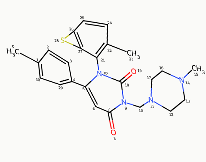 Cc1ccc(-c2cc(=O)n(CN3CCN(C)CC3)c(=O)n2-c2c(C)ccc3c2S3)cc1